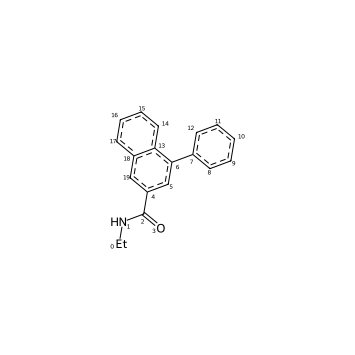 CCNC(=O)c1cc(-c2ccccc2)c2ccccc2c1